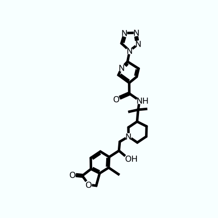 Cc1c(C(O)CN2CCCC(C(C)(C)NC(=O)c3ccc(-n4cnnn4)nc3)C2)ccc2c1COC2=O